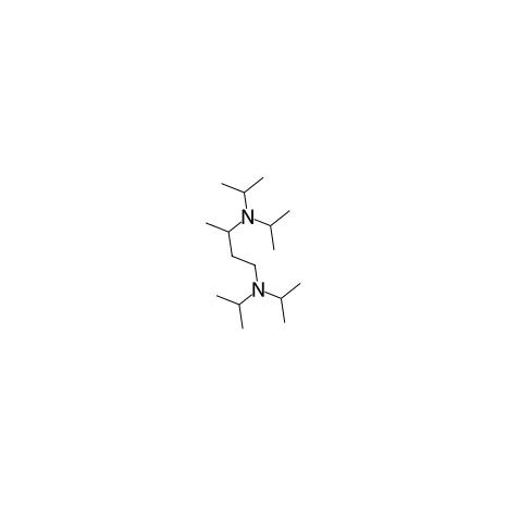 CC(C)N(CCC(C)N(C(C)C)C(C)C)C(C)C